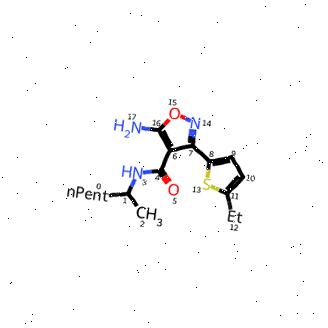 CCCCCC(C)NC(=O)c1c(-c2ccc(CC)s2)noc1N